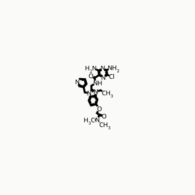 CCn1c(CNC(=O)c2nc(Cl)c(N)nc2N)[n+](Cc2cccnc2)c2ccc(OCC(=O)N(C)C)cc21